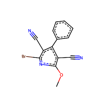 COc1nc(Br)c(C#N)c(-c2ccccc2)c1C#N